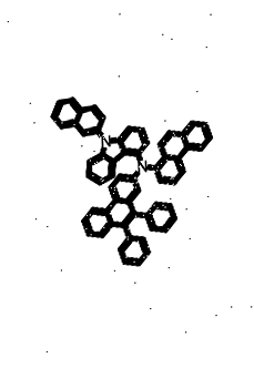 c1ccc(-c2c(-c3ccccc3)c3cc(N(c4cccc5c4ccc4ccccc45)c4cccc5c4c4ccccc4n5-c4ccc5ccccc5c4)ccc3c3ccccc23)cc1